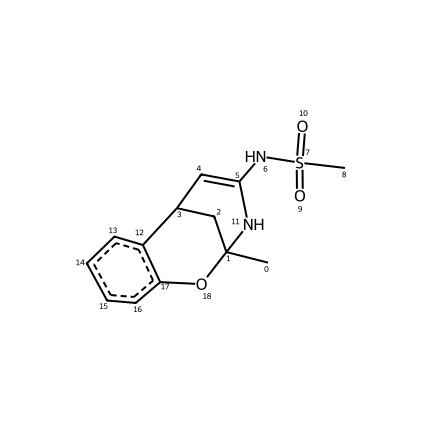 CC12CC(C=C(NS(C)(=O)=O)N1)c1ccccc1O2